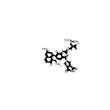 CCc1c(F)ccc2cc(O)cc(-c3ccc4c(N5C=C6C(=O)NC(=O)C6C5)nc(OCC5(CN(C)C)CC5)nc4c3F)c12